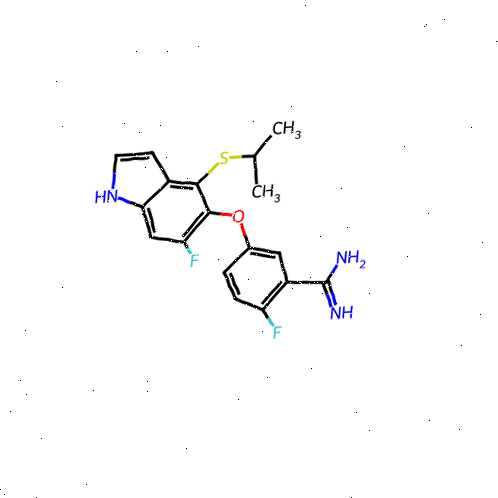 CC(C)Sc1c(Oc2ccc(F)c(C(=N)N)c2)c(F)cc2[nH]ccc12